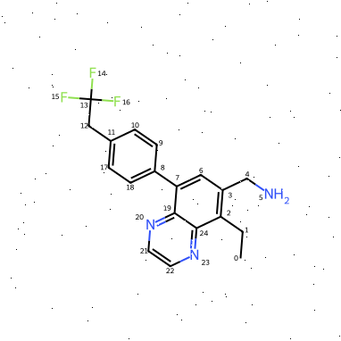 CCc1c(CN)cc(-c2ccc(CC(F)(F)F)cc2)c2nccnc12